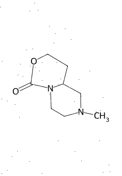 CN1CCN2C(=O)OCCC2C1